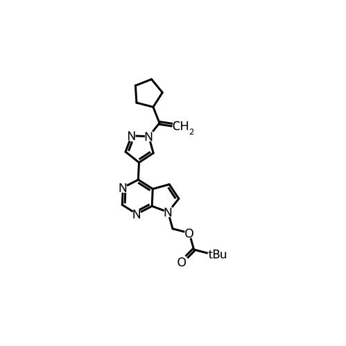 C=C(C1CCCC1)n1cc(-c2ncnc3c2ccn3COC(=O)C(C)(C)C)cn1